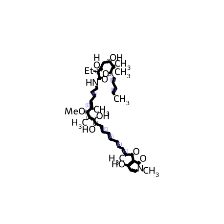 C/C=C/C=C/[C@@H]1O[C@](O)([C@H](CC)C(=O)NC/C=C/C=C(\C)[C@@H](OC)[C@@H](C)[C@H](O)[C@@H](O)/C=C/C=C/C=C/C=C(\C)C(=O)c2c(O)ccn(C)c2=O)C[C@H](O)C1(C)C